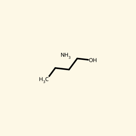 CCCCO.N